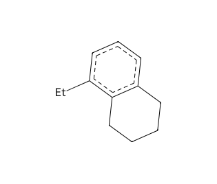 CCc1cccc2c1CCCC2